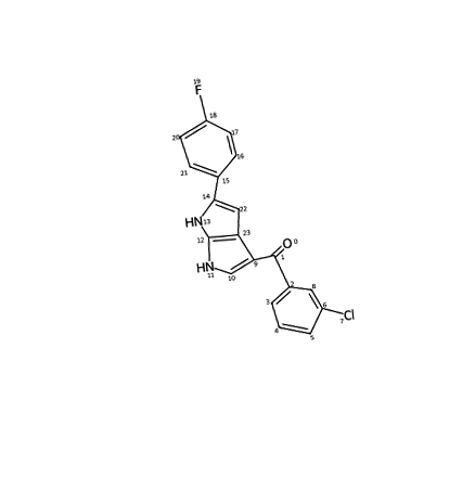 O=C(c1cccc(Cl)c1)c1c[nH]c2[nH]c(-c3ccc(F)cc3)cc12